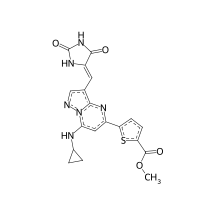 COC(=O)c1ccc(-c2cc(NC3CC3)n3ncc(C=C4NC(=O)NC4=O)c3n2)s1